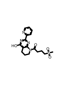 CS(=O)(=O)CCCC(=O)N1CCCc2c(O)nc(-c3ccccn3)nc21